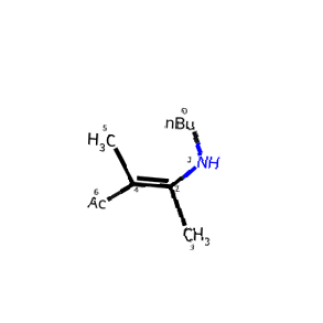 CCCCNC(C)=C(C)C(C)=O